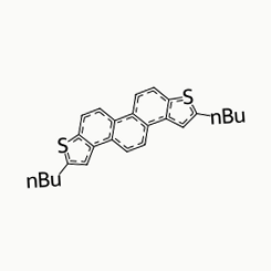 CCCCc1cc2c(ccc3c2ccc2c4cc(CCCC)sc4ccc23)s1